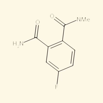 CNC(=O)c1ccc(F)cc1C(N)=O